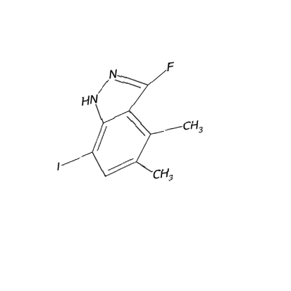 Cc1cc(I)c2[nH]nc(F)c2c1C